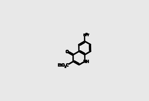 CCCc1ccc2[nH]cc(C(=O)OCC)c(=O)c2c1